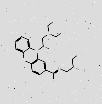 CC[C@@H](C)CN=C(N)c1ccc2c(c1)N([C@H](C)CN(CC)CC)c1ccccc1S2